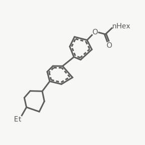 CCCCCCC(=O)Oc1ccc(-c2ccc(C3CCC(CC)CC3)cc2)cc1